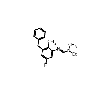 CCN(C)C=Nc1cc(F)cc(Cc2ccccc2)c1C